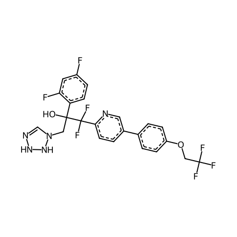 OC(CN1C=NNN1)(c1ccc(F)cc1F)C(F)(F)c1ccc(-c2ccc(OCC(F)(F)F)cc2)cn1